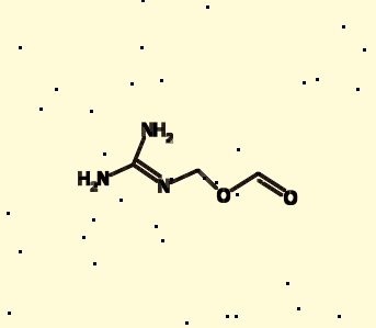 NC(N)=NCOC=O